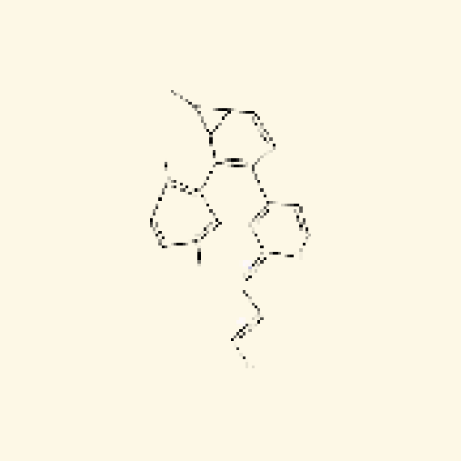 CCC/C=C/N=c1/cc(C2=C(c3cc(C)ccc3Cl)C3C(C)C3C=C2)cc[nH]1